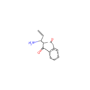 C=CC(N)C1C(=O)c2ccccc2C1=O